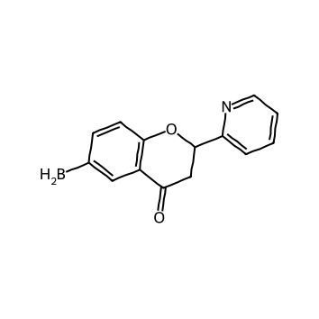 Bc1ccc2c(c1)C(=O)CC(c1ccccn1)O2